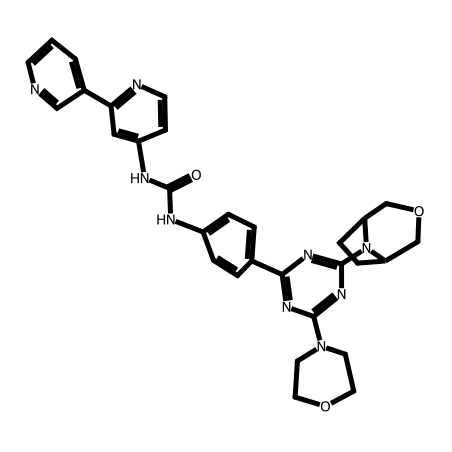 O=C(Nc1ccc(-c2nc(N3CCOCC3)nc(N3C4CCC3COC4)n2)cc1)Nc1ccnc(-c2cccnc2)c1